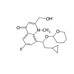 Cn1c(CO)cc(=O)c2cc(F)cc(C(CC3CC3)OC3CCCCO3)c21